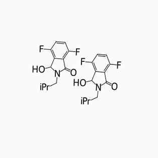 CC(C)CN1C(=O)c2c(F)ccc(F)c2C1O.CC(C)CN1C(=O)c2c(F)ccc(F)c2C1O